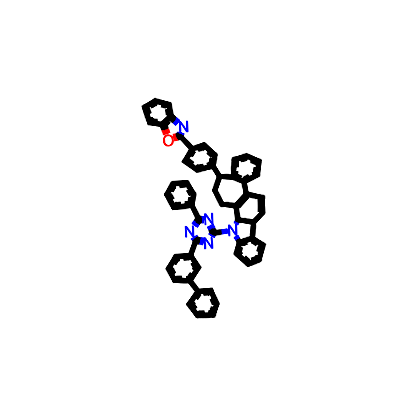 C1=CC2c3ccccc3N(c3nc(-c4ccccc4)nc(-c4cccc(-c5ccccc5)c4)n3)C2C2=C1c1ccccc1C(c1ccc(-c3nc4ccccc4o3)cc1)CC2